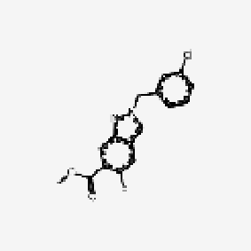 COC(=O)c1cc2nn(Cc3cccc(Cl)c3)cc2cc1F